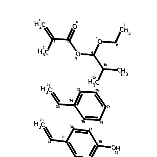 C=C(C)C(=O)OC(OCC)C(C)C.C=Cc1ccc(O)cc1.C=Cc1ccccc1